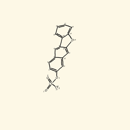 O=S(=O)(Oc1ccc2cc3c(cc2c1)oc1ccccc13)C(F)(F)F